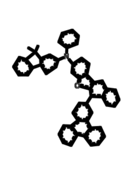 CC1(C)c2ccccc2-c2ccc(N(c3ccccc3)c3ccc4c(c3)oc3c(-c5ccc6c7ccccc7c7ccccc7c6c5)c5ccccc5cc34)cc21